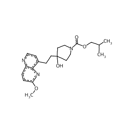 COc1ccc2nccc(CCC3(O)CCN(C(=O)OCC(C)C)CC3)c2n1